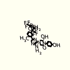 Cc1ccc(C(OC(=O)C(F)(F)F)(C(N)=O)C(F)(F)F)cc1-c1cnc(N)c(N2CC(=O)N(c3ccc(O)cc3)[C@@H](CO)C2)n1